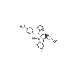 COCCNC(=O)C1(CN)C(c2cccs2)C(c2ccc(P)cc2)NN1c1ccc(F)cc1F